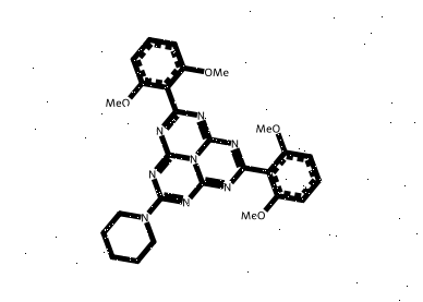 COc1cccc(OC)c1C1=NC2=NC(c3c(OC)cccc3OC)=NC3=NC(N4CCCCC4)=NC(=N1)N23